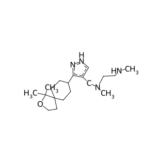 CNCCN(C)Cc1c[nH]nc1C1CCC2(CCOC2(C)C)CC1